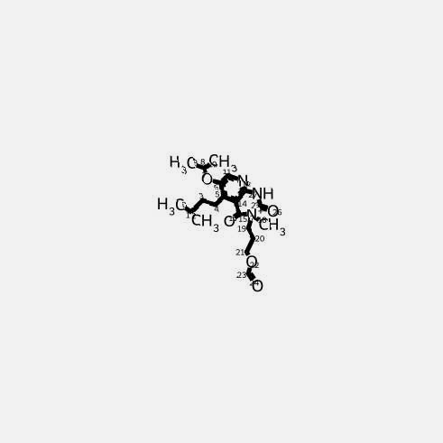 CC(C)CCc1c(OC(C)C)cnc2c1C(=O)[N+](C)(CCCOC=O)C(=O)N2